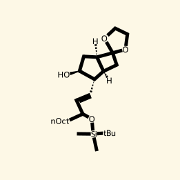 CCCCCCCCC(/C=C/[C@H]1[C@@H]2CC3(OCCO3)[C@@H]2C[C@@H]1O)O[Si](C)(C)C(C)(C)C